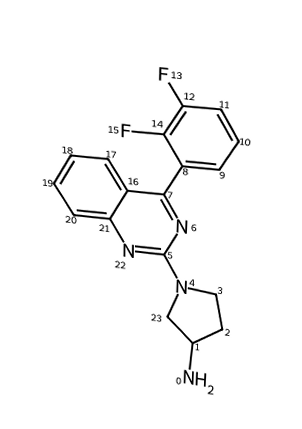 NC1CCN(c2nc(-c3cccc(F)c3F)c3ccccc3n2)C1